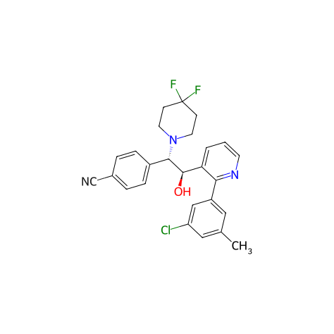 Cc1cc(Cl)cc(-c2ncccc2[C@@H](O)[C@H](c2ccc(C#N)cc2)N2CCC(F)(F)CC2)c1